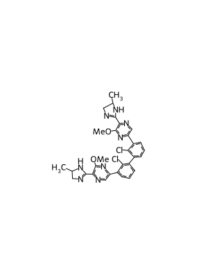 COc1nc(-c2cccc(-c3cccc(-c4cnc(C5=NCC(C)N5)c(OC)n4)c3Cl)c2Cl)cnc1C1=NCC(C)N1